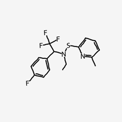 CCN(Sc1cccc(C)n1)C(c1ccc(F)cc1)C(F)(F)F